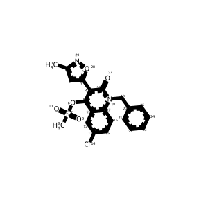 Cc1cc(-c2c(OS(C)(=O)=O)c3cc(Cl)ccc3n(Cc3ccccc3)c2=O)on1